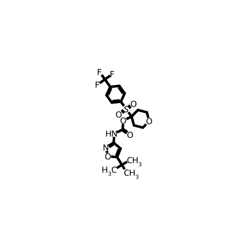 CC(C)(C)c1cc(NC(=O)OC2(S(=O)(=O)c3ccc(C(F)(F)F)cc3)CCOCC2)no1